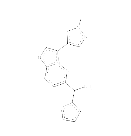 Cn1cc(-c2cnc3ccc(C(N)c4cccs4)nn23)cn1